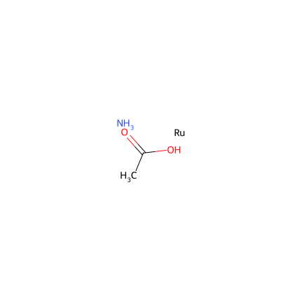 CC(=O)O.N.[Ru]